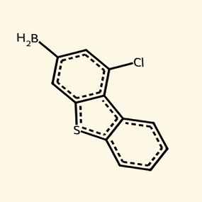 Bc1cc(Cl)c2c(c1)sc1ccccc12